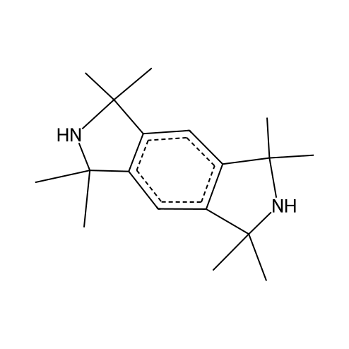 CC1(C)NC(C)(C)c2cc3c(cc21)C(C)(C)NC3(C)C